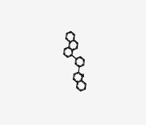 c1cc(-c2ccc3ccccc3n2)cc(-c2cccc3c2ccc2ccccc23)c1